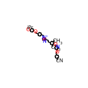 Cc1cc(C=CC2O[N+]3(Cc4ccc(COc5ccc(OC(C)C)cc5)cc4)CCN2CC3)cc(C)c1Oc1ccc(OCc2ccc(C#N)cc2)cn1